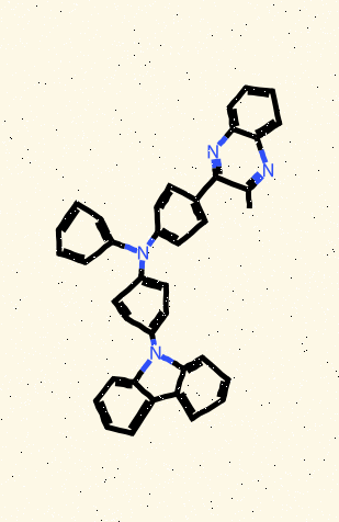 Cc1nc2ccccc2nc1-c1ccc(N(c2ccccc2)c2ccc(-n3c4ccccc4c4ccccc43)cc2)cc1